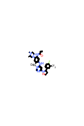 C=CC(=O)Nc1cc(Nc2cc(N3OCCC3c3ccc(F)c(C(F)(F)F)c3)ncn2)c(OC)cc1N1CCN(C)C(C)C1